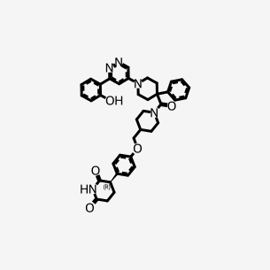 O=C1CC[C@H](c2ccc(OCC3CCN(C(=O)C4(c5ccccc5)CCN(c5cnnc(-c6ccccc6O)c5)CC4)CC3)cc2)C(=O)N1